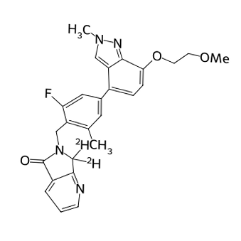 [2H]C1([2H])c2ncccc2C(=O)N1Cc1c(C)cc(-c2ccc(OCCOC)c3nn(C)cc23)cc1F